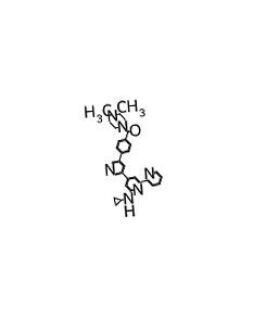 CC1CN(C(=O)c2ccc(-c3cncc(-c4cc(NC5CC5)nc(-c5ccccn5)c4)c3)cc2)CCN1C